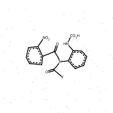 O=C(O)Nc1ccccc1N(C(=O)F)C(=O)c1ccccc1[N+](=O)[O-]